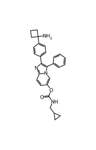 NC1(c2ccc(-c3nc4ccc(OC(=O)NCC5CC5)cn4c3-c3ccccc3)cc2)CCC1